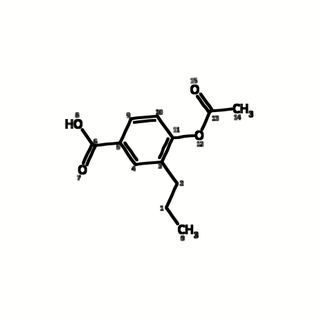 CCCc1cc(C(=O)O)ccc1OC(C)=O